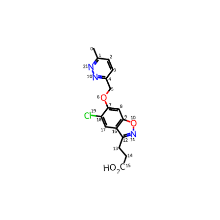 Cc1ccc(COc2cc3onc(CCC(=O)O)c3cc2Cl)nn1